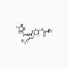 CC(C)NCc1coc(CC(C)NCc2ccco2)c1